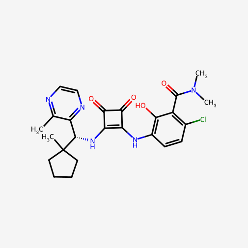 Cc1nccnc1[C@H](Nc1c(Nc2ccc(Cl)c(C(=O)N(C)C)c2O)c(=O)c1=O)C1(C)CCCC1